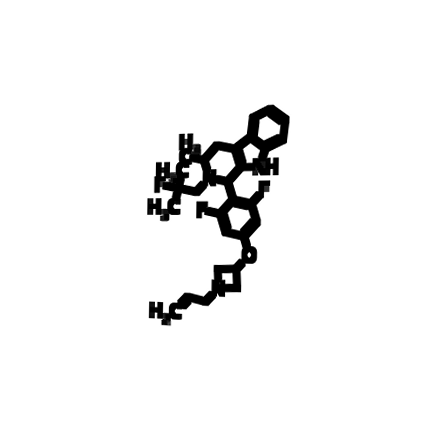 C=CCN1CC(Oc2cc(F)c(C3c4[nH]c5ccccc5c4CC(C)N3CC(C)(C)F)c(F)c2)C1